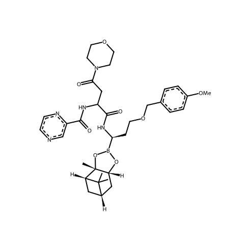 COc1ccc(COCC[C@H](NC(=O)C(CC(=O)N2CCOCC2)NC(=O)c2cnccn2)B2O[C@@H]3C[C@@H]4C[C@@H](C4(C)C)[C@]3(C)O2)cc1